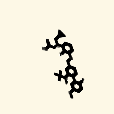 COc1ccc(F)c(-c2ccc(COc3cccc([C@@H](CC(=O)O)CC4CC4)c3F)cc2[C@@H](F)C(C)(C)C)c1